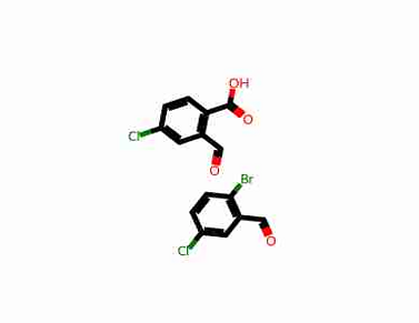 O=Cc1cc(Cl)ccc1Br.O=Cc1cc(Cl)ccc1C(=O)O